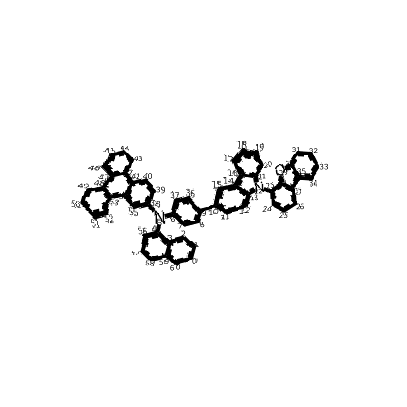 c1ccc2c(N(c3ccc(-c4ccc5c(c4)c4ccccc4n5-c4cccc5c4oc4ccccc45)cc3)c3ccc4c5ccccc5c5ccccc5c4c3)cccc2c1